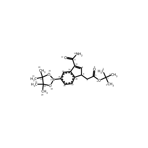 CC(C)(C)OC(=O)CC1C=C(C(N)=O)c2cc(B3OC(C)(C)C(C)(C)O3)ccc21